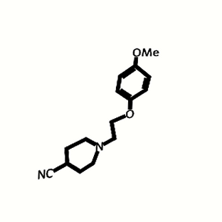 COc1ccc(OCCN2CCC(C#N)CC2)cc1